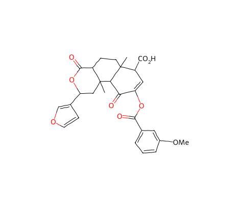 COc1cccc(C(=O)OC2=CC(C(=O)O)C3(C)CCC4C(=O)OC(c5ccoc5)CC4(C)C3C2=O)c1